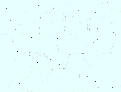 C1=Cc2ccccc2OC1.O=c1nc2ccnc-2c1=O